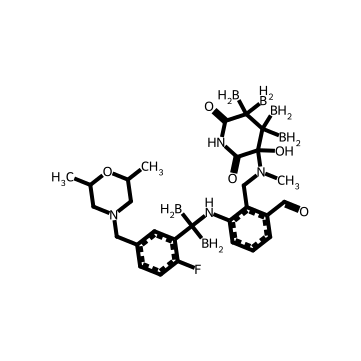 BC(B)(Nc1cccc(C=O)c1CN(C)C1(O)C(=O)NC(=O)C(B)(B)C1(B)B)c1cc(CN2CC(C)OC(C)C2)ccc1F